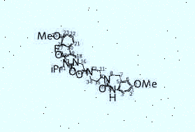 COc1ccc2c(c1)CCN(C1CCN(C(=O)Cn3cc(-c4cccc(OC)c4F)c(=O)n(C(C)C)c3=O)CC1)C(=O)N2